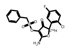 [2H][C@]1(c2cc(F)ccc2Cl)OC(N)=C(OS(=O)(=O)Cc2ccccc2)C1=O